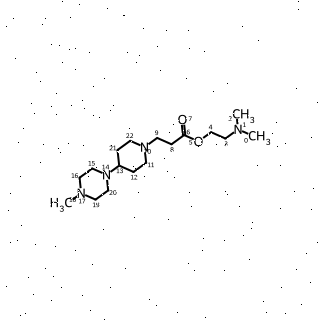 CN(C)CCOC(=O)CCN1CCC(N2CCN(C)CC2)CC1